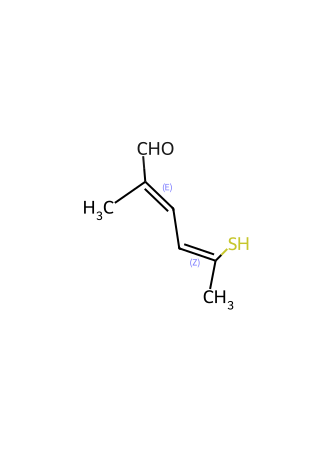 C/C(S)=C/C=C(\C)C=O